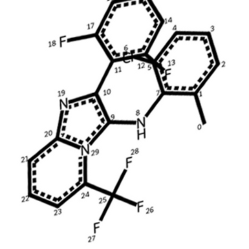 Cc1cccc(Cl)c1Nc1c(-c2c(F)cccc2F)nc2cccc(C(F)(F)F)n12